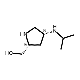 CC(C)N[C@H]1CN[C@@H](CO)C1